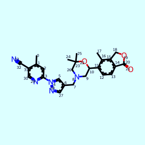 Cc1cc(-n2cc(CN3CC(c4ccc5c(c4C)COC5=O)OC(C)(C)C3)cn2)ncc1C#N